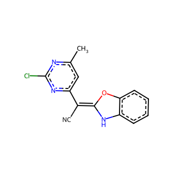 Cc1cc(/C(C#N)=C2/Nc3ccccc3O2)nc(Cl)n1